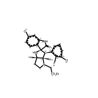 CCOC(=O)CN1CC[C@@H]2N[C@@]3(C(=O)Nc4cc(Cl)ccc43)[C@@H](c3cccc(Cl)c3F)[C@@H]21